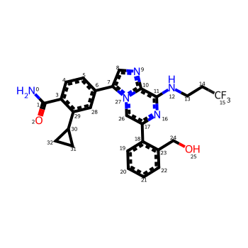 NC(=O)c1ccc(-c2cnc3c(NCCC(F)(F)F)nc(-c4ccccc4CO)cn23)cc1C1CC1